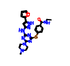 CCNC(=O)c1ccc(Sc2nc(Nc3cc(-c4ccco4)[nH]n3)nc(N3CCN(C)CC3)n2)cc1